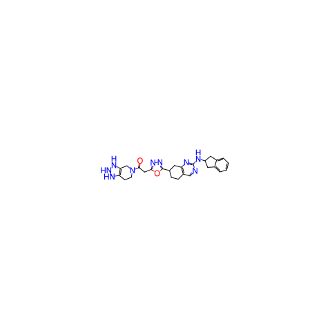 O=C(Cc1nnc(C2CCc3cnc(NC4Cc5ccccc5C4)nc3C2)o1)N1CCC2=C(C1)NNN2